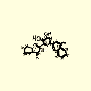 Cc1cc(-c2nc(O)c(O)c(C(=O)NC(C)C3CCCCC3)n2)nc2ccccc12